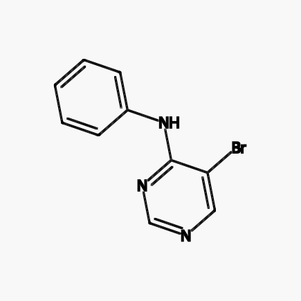 Brc1cncnc1Nc1ccccc1